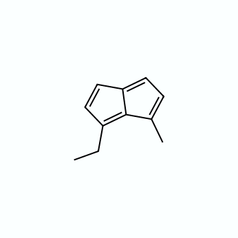 CCC1=C2C(C)=CC=C2C=C1